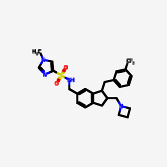 Cn1cnc(S(=O)(=O)NCc2ccc3c(c2)C(Cc2cccc(C(F)(F)F)c2)C(CN2CCC2)C3)c1